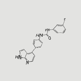 O=C(Nc1ccc(-c2ccnc3[nH]ccc23)cc1)Nc1cccc(F)c1